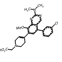 CCOC(=O)CN1CC=C(c2cc(-c3cccc(Cl)c3)c3cnc(N(C)C)nc3c2OC)CC1